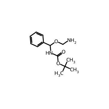 CC(C)(C)OC(=O)NC(OCN)c1ccccc1